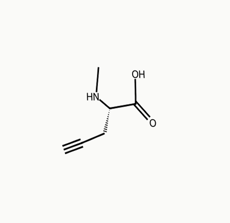 C#CC[C@H](NC)C(=O)O